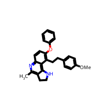 COc1ccc(CCc2c(Oc3ccccc3)ccc3nc(C)c4c(c23)NCC4)cc1